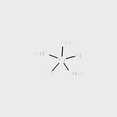 O=[CH][Ru]([Cl])([Cl])([CH]=O)[CH]=O